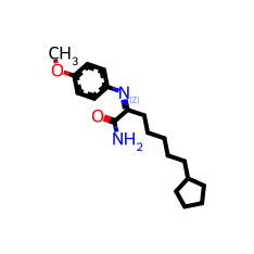 COc1ccc(/N=C(/CCCCCC2CCCC2)C(N)=O)cc1